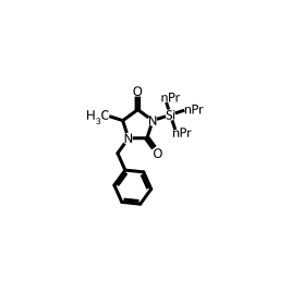 CCC[Si](CCC)(CCC)N1C(=O)C(C)N(Cc2ccccc2)C1=O